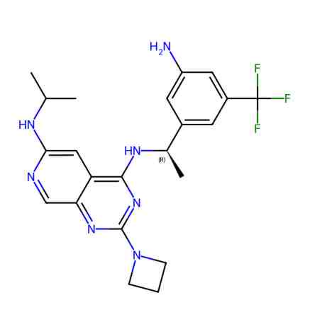 CC(C)Nc1cc2c(N[C@H](C)c3cc(N)cc(C(F)(F)F)c3)nc(N3CCC3)nc2cn1